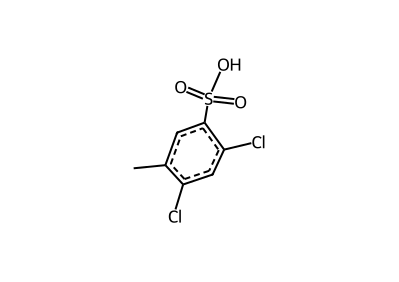 Cc1cc(S(=O)(=O)O)c(Cl)cc1Cl